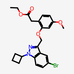 CCOC(=O)Cc1ccc(OC)cc1OCc1nn(C2CCC2)c2ccc(Br)cc12